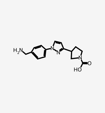 NCc1ccc(-n2ccc(C3CCN(C(=O)O)C3)n2)cc1